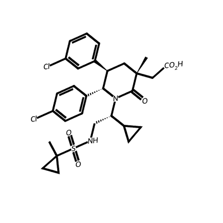 CC1(S(=O)(=O)NC[C@@H](C2CC2)N2C(=O)[C@@](C)(CC(=O)O)C[C@H](c3cccc(Cl)c3)[C@H]2c2ccc(Cl)cc2)CC1